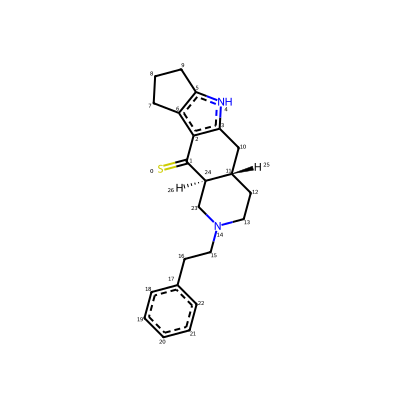 S=C1c2c([nH]c3c2CCC3)C[C@@H]2CCN(CCc3ccccc3)C[C@@H]12